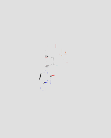 Nc1ccn([C@@H]2O[C@H](CO)C(O[PH](=O)O)C2F)c(=O)n1